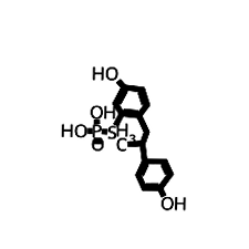 CC(Cc1ccc(O)cc1SP(=O)(O)O)c1ccc(O)cc1